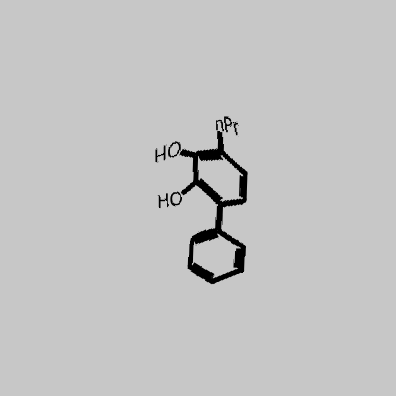 CCCc1ccc(-c2ccccc2)c(O)c1O